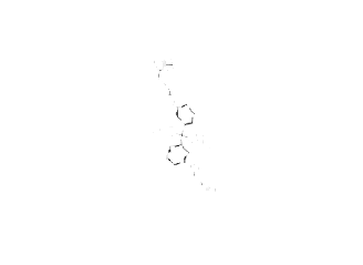 CC(C)(c1cccc(OCCO)c1)c1cccc(OCCO)c1